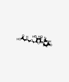 O=C(O)CNCOC[C@@H]1O[C@H](n2ccc(=O)[nH]c2=S)C(O)C1O